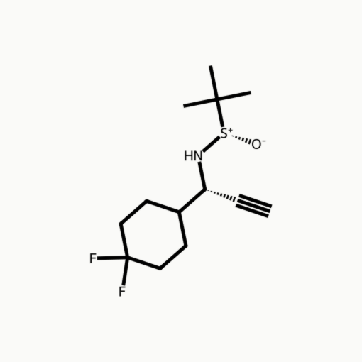 C#C[C@@H](N[S@@+]([O-])C(C)(C)C)C1CCC(F)(F)CC1